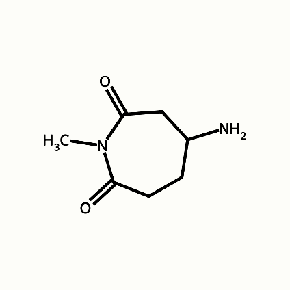 CN1C(=O)CCC(N)CC1=O